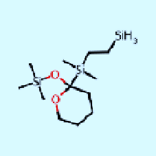 C[Si](C)(C)OC1([Si](C)(C)CC[SiH3])CCCCO1